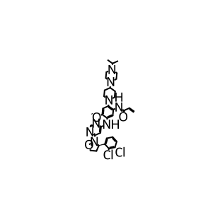 C=CC(=O)Nc1cc(Nc2cc(N3OCC[C@@H]3c3cccc(Cl)c3Cl)ncn2)c(OC)cc1N1CCC(N2CCN(C(C)C)CC2)CC1